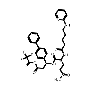 C[S+]([O-])CC[C@H](NC(=O)CCCCNc1ccccn1)C(=O)NC(CC(=O)OC(=O)C(F)(F)F)c1ccc(-c2ccccc2)cc1